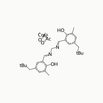 CC(=O)[O-].CC(=O)[O-].Cc1cc(CC(C)(C)C)cc(C=NCN=Cc2cc(CC(C)(C)C)cc(C)c2O)c1O.[Co+2]